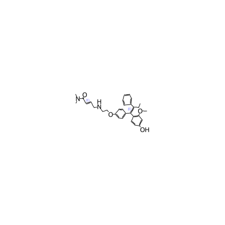 CC/C(=C(/c1ccc(OCCNC/C=C/C(=O)N(C)C)cc1)c1ccc(O)cc1OC)c1ccccc1